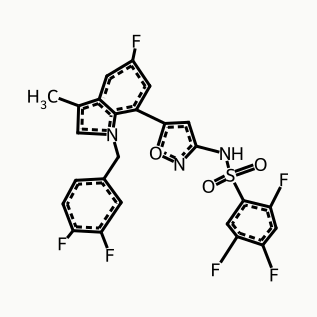 Cc1cn(Cc2ccc(F)c(F)c2)c2c(-c3cc(NS(=O)(=O)c4cc(F)c(F)cc4F)no3)cc(F)cc12